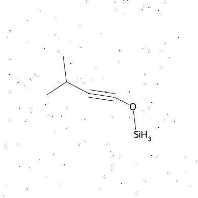 CC(C)C#CO[SiH3]